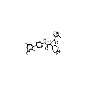 Cc1cc(-c2ccc(NC(=O)[C@@H](NC(=O)c3conc3C)C3CCC(F)(F)CC3)cc2)c(C)[n+]([O-])c1